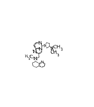 CN(C)C1CCN(c2nccc3nc(CN(C)[C@H]4CCCc5cccnc54)cn23)C1